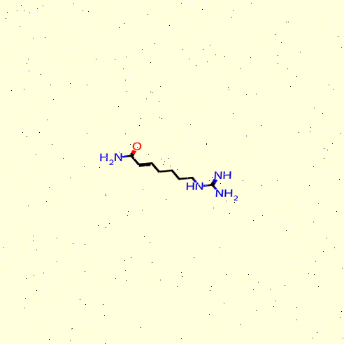 N=C(N)NCCCCC=CC(N)=O